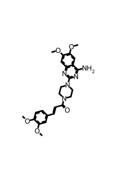 COc1ccc(C=CC(=O)N2CCN(c3nc(N)c4cc(OC)c(OC)cc4n3)CC2)cc1OC